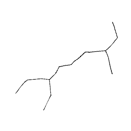 CCC(C)CCCC(CC)CC